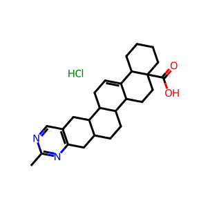 Cc1ncc2c(n1)CC1CCC3C4CCC5(C(=O)O)CCCCC5C4=CCC3C1C2.Cl